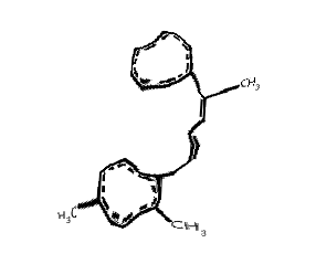 CC(=CC=Cc1ccc(C)cc1C)c1ccccc1